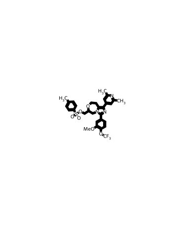 COc1cc(-c2nc(-c3cc(C)nc(C)c3)c3n2CC(COS(=O)(=O)c2ccc(C)cc2)OCC3)ccc1OC(F)(F)F